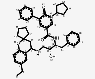 CCc1ccc2c(c1)C(NC[C@@H](O)[C@H](Cc1ccccc1)NC(=O)c1cc(-c3ccccc3)c(=O)n(C3CCCC3)c1)CC1(CCCC1)O2